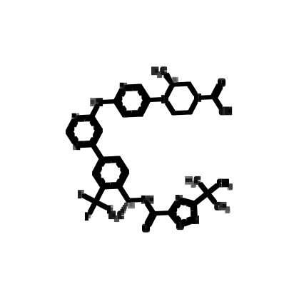 C[C@@H](NC(=O)c1nc(C(C)(C)C)no1)c1ccc(-c2cc(Nc3ccc(N4CCN(C(=O)O)C[C@@H]4C)cn3)ncn2)cc1C(F)(F)F